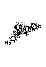 O=S(=O)(c1ccc(S)cc1)n1nc(N2CCN(c3ncc(F)cn3)CC23CC3)c2c(Cl)cccc21